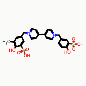 Cc1cc(C[n+]2ccc(-c3cc[n+](Cc4ccc(O)c(S(=O)(=O)O)c4)cc3)cc2)cc(S(=O)(=O)O)c1O